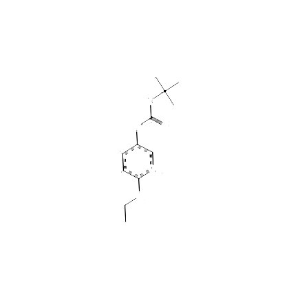 CCSc1ccc(OC(=O)NC(C)(C)C)cn1